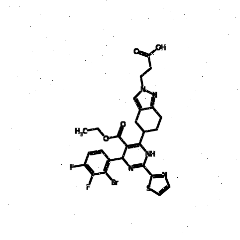 CCOC(=O)C1=C(C2CCc3nn(CCC(=O)O)cc3C2)NC(c2nccs2)=NC1c1ccc(F)c(F)c1Br